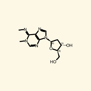 CN=c1c2ncn([C@H]3C[C@H](O)[C@@H](CO)O3)c2ncn1C